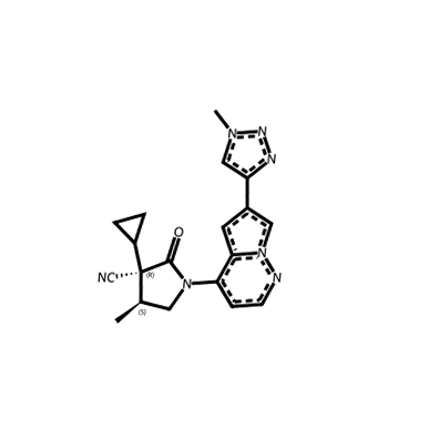 C[C@@H]1CN(c2ccnn3cc(-c4cn(C)nn4)cc23)C(=O)[C@]1(C#N)C1CC1